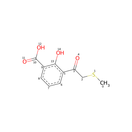 CSCC(=O)c1cccc(C(=O)O)c1O